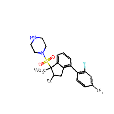 CCC1Cc2c(-c3ccc(C(F)(F)F)cc3F)cccc2C1(C(=O)O)S(=O)(=O)N1CCNCC1